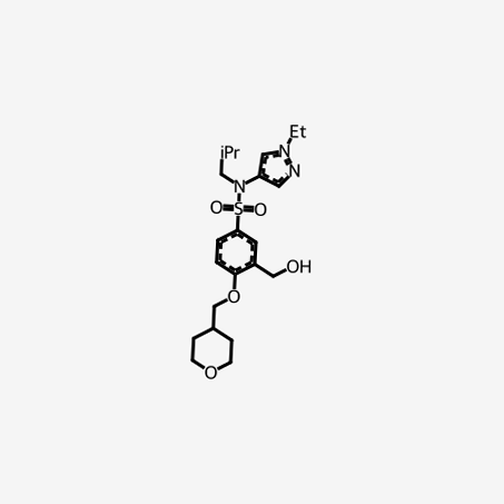 CCn1cc(N(CC(C)C)S(=O)(=O)c2ccc(OCC3CCOCC3)c(CO)c2)cn1